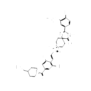 Cc1cc(C(=O)N2CCC(CO)CC2)cc(C)c1/C=C/S(=O)(=O)N1CCC2(CC1)N=C(c1ccc(F)c(OC(F)(F)F)c1)NC2=O